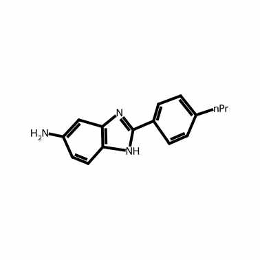 CCCc1ccc(-c2nc3cc(N)ccc3[nH]2)cc1